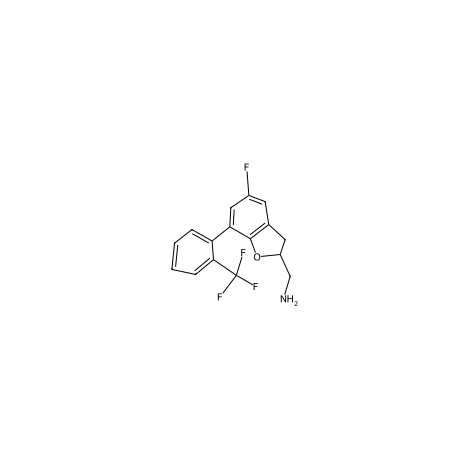 NCC1Cc2cc(F)cc(-c3ccccc3C(F)(F)F)c2O1